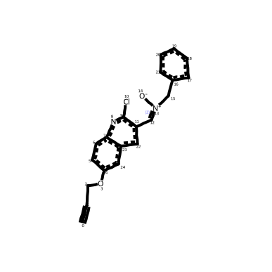 C#CCOc1ccc2nc(Cl)c(/C=[N+](\[O-])Cc3ccccc3)cc2c1